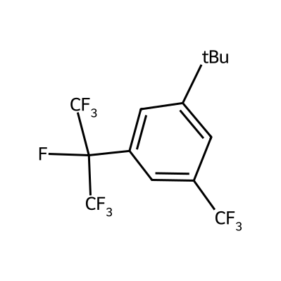 CC(C)(C)c1cc(C(F)(F)F)cc(C(F)(C(F)(F)F)C(F)(F)F)c1